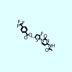 CC(=O)Nc1ccn([C@@H]2S[C@H](COC(=O)c3ccc(C(F)(F)F)cc3)C[C@@H]2F)c(=O)n1